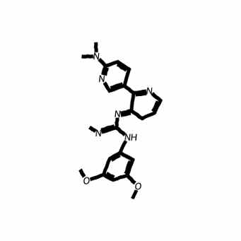 C/N=C(\N=C1/CC=CN=C1c1ccc(N(C)C)nc1)Nc1cc(OC)cc(OC)c1